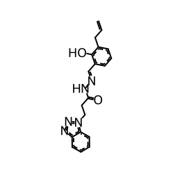 C=CCc1cccc(/C=N/NC(=O)CCn2nnc3ccccc32)c1O